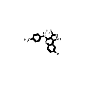 Cc1ccc(Nc2nc3ccc(Br)cc3c3[nH]nc(N)c23)cc1